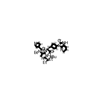 CCN(CC)c1ncc(N(CC)C(=O)c2ccncc2)c(N[C@@H](Cc2ccc(-n3c(=O)[nH]c4cccnc43)cc2)C(=O)OC(C)(C)C)n1